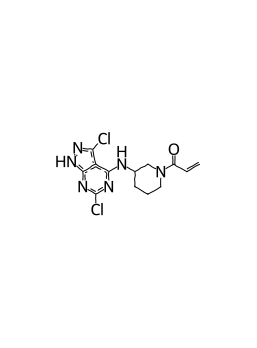 C=CC(=O)N1CCCC(Nc2nc(Cl)nc3[nH]nc(Cl)c23)C1